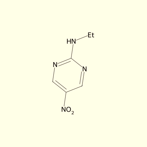 CCNc1ncc([N+](=O)[O-])cn1